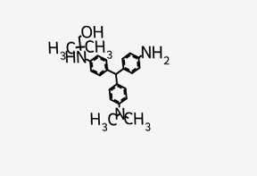 CN(C)c1ccc(C(c2ccc(N)cc2)c2ccc(NC(C)(C)CO)cc2)cc1